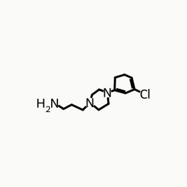 NCCCN1CCN(C2=CC(Cl)=CCC2)CC1